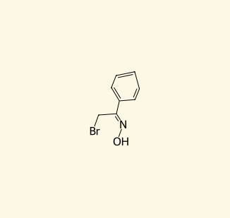 ON=C(CBr)c1ccccc1